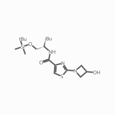 CC[C@H](C)[C@@H](CO[Si](C)(C)C(C)(C)C)NC(=O)c1csc(N2CC(O)C2)n1